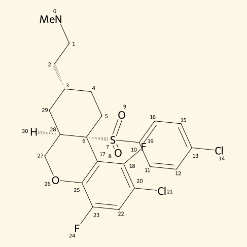 CNCC[C@@H]1CC[C@@]2(S(=O)(=O)c3ccc(Cl)cc3)c3c(F)c(Cl)cc(F)c3OC[C@H]2C1